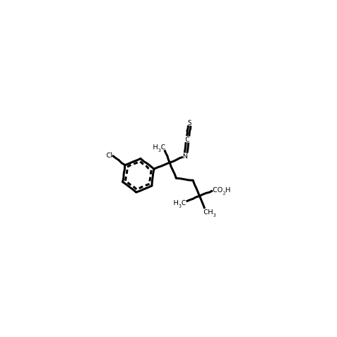 CC(C)(CCC(C)(N=C=S)c1cccc(Cl)c1)C(=O)O